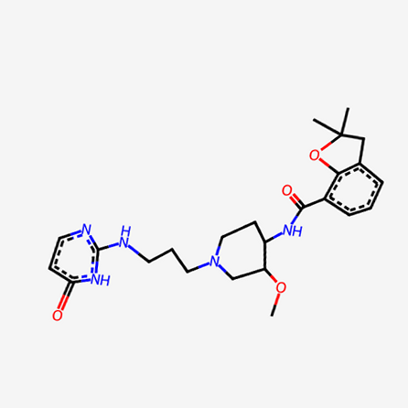 COC1CN(CCCNc2nccc(=O)[nH]2)CCC1NC(=O)c1cccc2c1OC(C)(C)C2